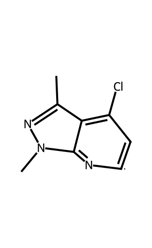 Cc1nn(C)c2n[c]cc(Cl)c12